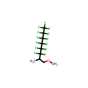 CC(CO[SiH3])C(F)(F)C(F)(F)C(F)(F)C(F)(F)C(F)(F)C(F)(F)F